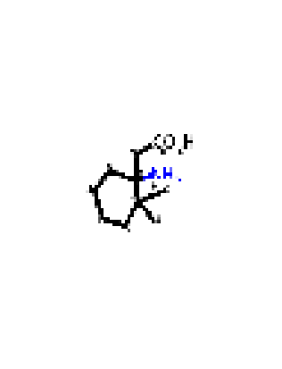 CC1(C)CCCCC1(N)CC(=O)O